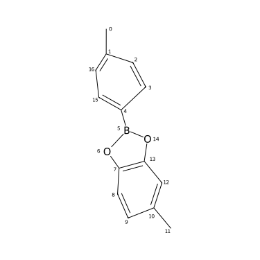 Cc1ccc(B2Oc3ccc(C)cc3O2)cc1